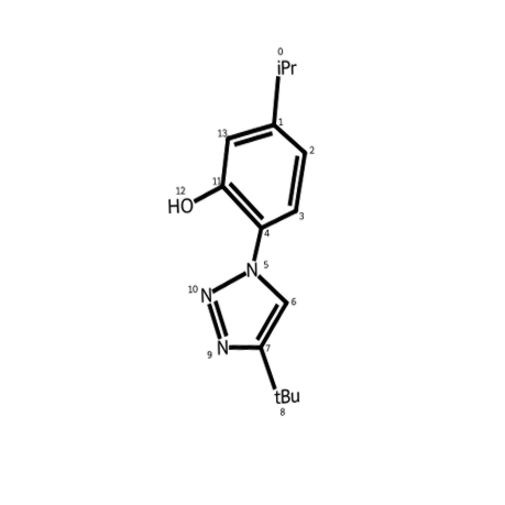 CC(C)c1ccc(-n2cc(C(C)(C)C)nn2)c(O)c1